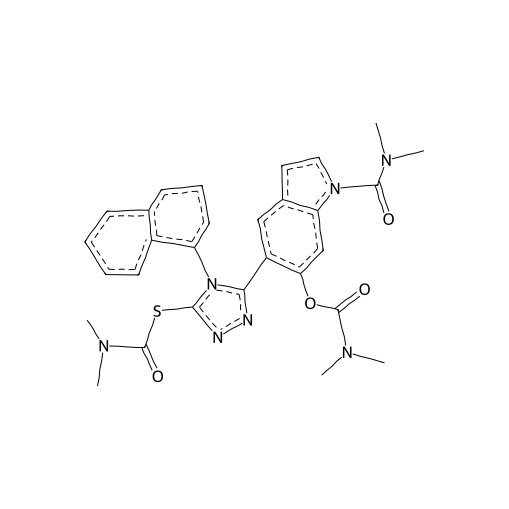 CN(C)C(=O)Oc1cc2c(ccn2C(=O)N(C)C)cc1-c1nnc(SC(=O)N(C)C)n1-c1cccc2ccccc12